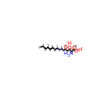 CCCCCCC/C=C/C=C/C(=O)CC(O)C(N)C(=O)O